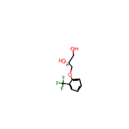 OC[C@@H](O)COc1ccccc1C(F)(F)F